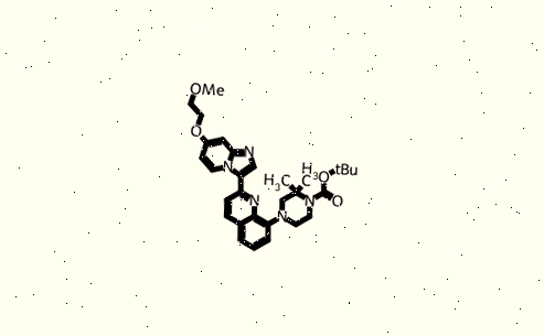 COCCOc1ccn2c(-c3ccc4cccc(N5CCN(C(=O)OC(C)(C)C)C(C)(C)C5)c4n3)cnc2c1